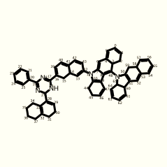 C1=CCC2C(=C1)C=c1c(c3c(n1C1=CC4CC(C5=NC(c6ccccc6)=NC(C6=CCCC7=C6CCCC7)N5)=CC=C4C=C1)CCC=C3)=C2N1C2=C(C=C3C=CC=CC3C2)C2C=CC=CC21